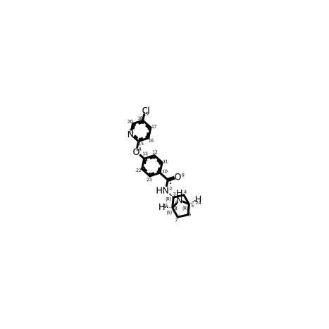 O=C(N[C@@H]1C[C@H]2CC[C@@H]1N2)c1ccc(Oc2ccc(Cl)cn2)cc1